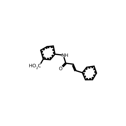 O=C(C=Cc1ccccc1)Nc1cccc(C(=O)O)c1